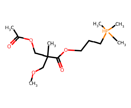 COCC(C)(COC(C)=O)C(=O)OCCC[PH](C)(C)C